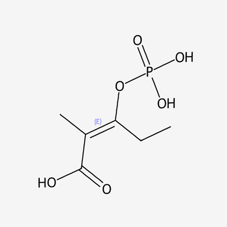 CC/C(OP(=O)(O)O)=C(/C)C(=O)O